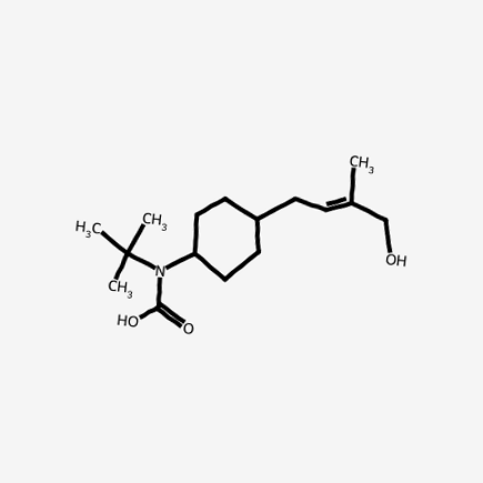 C/C(=C\CC1CCC(N(C(=O)O)C(C)(C)C)CC1)CO